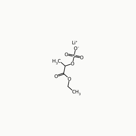 CCOC(=O)C(C)OS(=O)(=O)[O-].[Li+]